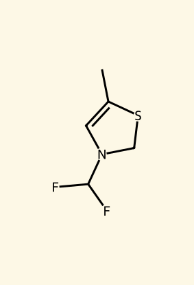 CC1=CN(C(F)F)CS1